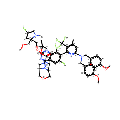 COC[C@@]1(COc2nc(N3C4COCC3CN(C(=O)OC(C)(C)C)C4)c3cc(F)c(-c4nc(N(Cc5ccc(OC)cc5)Cc5ccc(OC)cc5)cc(C)c4C(F)(F)F)c(F)c3n2)C[C@@H](F)CN1C